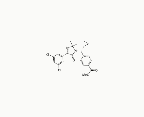 COC(=O)c1ccc([C@@H](C2CC2)N2C(=O)C(c3cc(Cl)cc(Cl)c3)=NC2(C)C)cc1